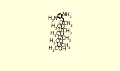 CC(O)OC(C)OC(C)OC(C)OC(C)OC(C)OC(C)OC(C)Cc1cc(N)ccc1N